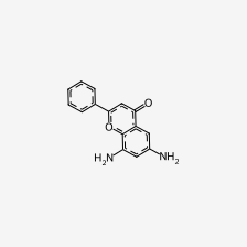 Nc1cc(N)c2oc(-c3ccccc3)cc(=O)c2c1